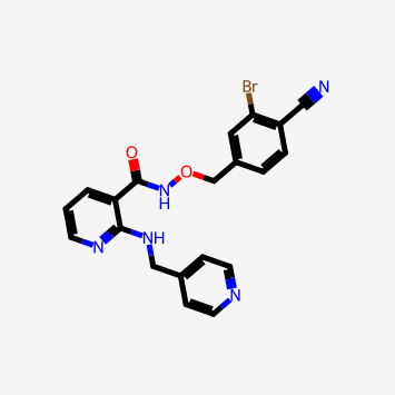 N#Cc1ccc(CONC(=O)c2cccnc2NCc2ccncc2)cc1Br